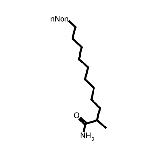 CCCCCCCCCCCCCCCCCCC(C)C(N)=O